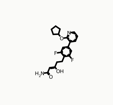 NC(=O)/C=C(\O)CCc1c(F)cc(-c2cccnc2OC2CCCC2)cc1F